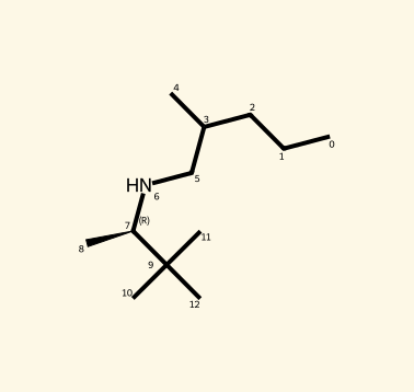 CCCC(C)CN[C@H](C)C(C)(C)C